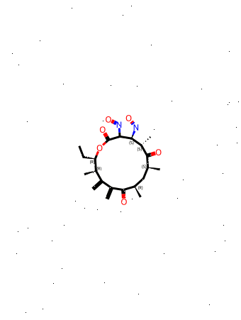 C=C1C(=C)[C@@H](C)[C@@H](CC)OC(=O)C(N=O)[C@@H](N=O)[C@H](C)C(=O)[C@@H](C)C[C@@H](C)C1=O